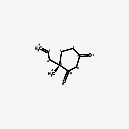 C=CC[C@]1(C)CCC(=O)CC1=O